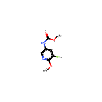 CCCOc1ncc(NC(=O)OC(C)(C)C)cc1F